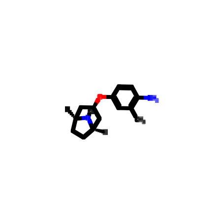 Cc1cc(O[C@H]2C[C@H]3CC[C@@H](C2)N3C)ccc1N